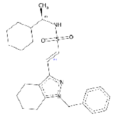 C[C@@H](NS(=O)(=O)/C=C/c1nn(Cc2ccccc2)c2c1CCCC2)C1CCCCC1